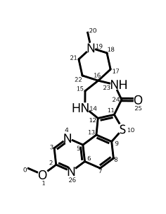 COc1cnc2c(ccc3sc4c(c32)NCC2(CCN(C)CC2)NC4=O)n1